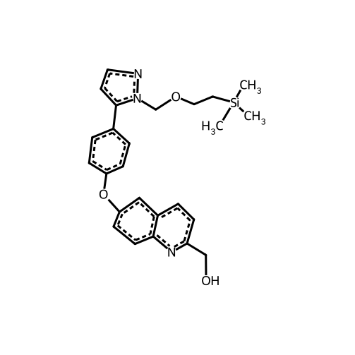 C[Si](C)(C)CCOCn1nccc1-c1ccc(Oc2ccc3nc(CO)ccc3c2)cc1